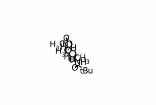 CN1C(=O)C=C[C@]2(C)[C@H]3CC[C@]4(C)C(NC(=O)CC(C)(C)C)CC[C@H]4[C@@H]3CC[C@@H]12